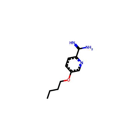 CCCCOc1ccc(C(=N)N)nc1